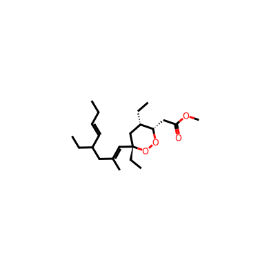 CC/C=C/C(CC)C/C(C)=C/[C@]1(CC)C[C@H](CC)[C@H](CC(=O)OC)OO1